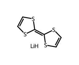 C1=CSC(=C2SC=CS2)S1.[LiH]